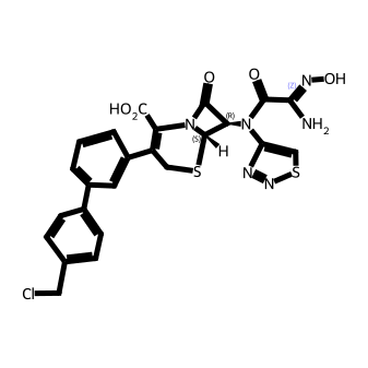 N/C(=N\O)C(=O)N(c1csnn1)[C@@H]1C(=O)N2C(C(=O)O)=C(c3cccc(-c4ccc(CCl)cc4)c3)CS[C@@H]12